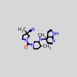 C[C@@H]1CCN(C(=O)N2CCC(C)(C#N)C2)CC1N(C)c1ccnc2[nH]ccc12